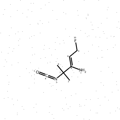 CC(C)(N=C=O)/C(N)=C/CF